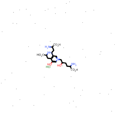 Cl.NC(CCc1c[n+](CC(O)CCC(N)C(=O)O)cc(O)c1CC(N)C(=O)O)C(=O)O